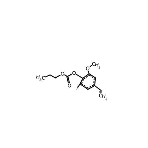 C=Cc1cc(I)c(OC(=O)OCCC)c(OC)c1